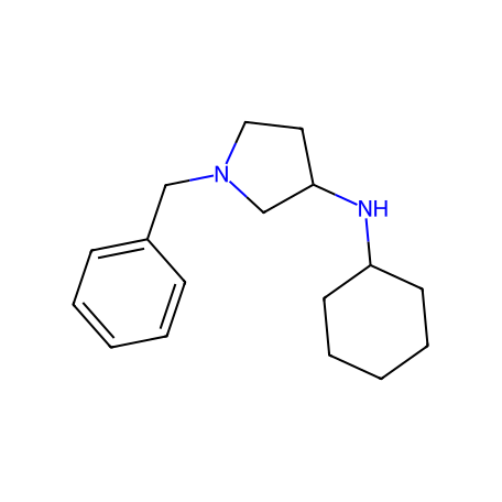 c1ccc(CN2CCC(NC3CCCCC3)C2)cc1